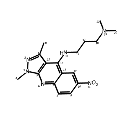 Cc1nn(C)c2nc3ccc([N+](=O)[O-])cc3c(NCCCN(C)C)c12